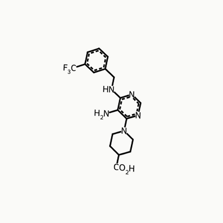 Nc1c(NCc2cccc(C(F)(F)F)c2)ncnc1N1CCC(C(=O)O)CC1